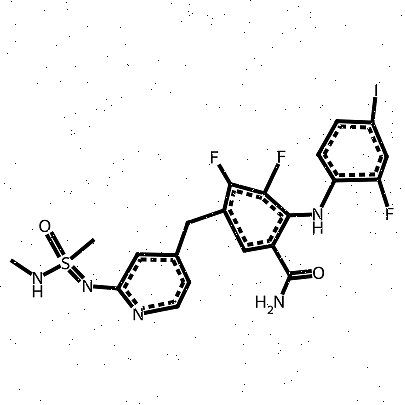 CNS(C)(=O)=Nc1cc(Cc2cc(C(N)=O)c(Nc3ccc(I)cc3F)c(F)c2F)ccn1